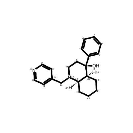 O[C@]1(c2ccccc2)CCN(Cc2ccncc2)[C@@H]2CCCC[C@@H]21